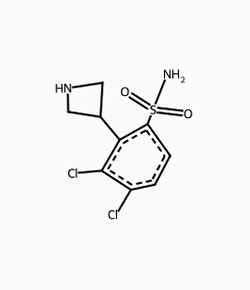 NS(=O)(=O)c1ccc(Cl)c(Cl)c1C1CNC1